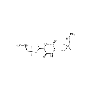 CC(CC(C)(C)CNP)C1NC(=O)C(C(C)(C)CC(C)(C)CNP)NC1=O